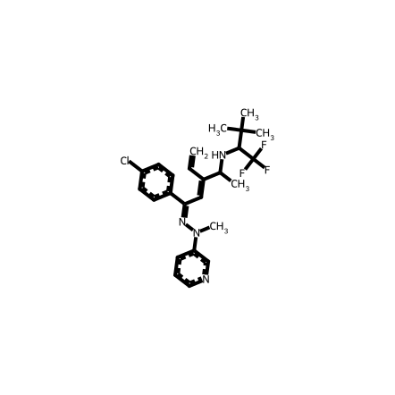 C=C/C(=C\C(=N/N(C)c1cccnc1)c1ccc(Cl)cc1)C(C)NC(C(C)(C)C)C(F)(F)F